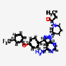 C=CC(=O)N1CCC[C@@H](n2nc(-c3ccc(Oc4cccc(C(F)(F)F)c4)cc3)c3c(N)ncnc32)C1